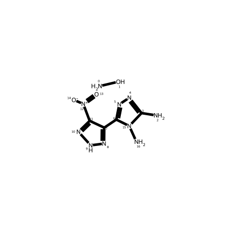 NO.Nc1nnc(-c2n[nH]nc2[N+](=O)[O-])n1N